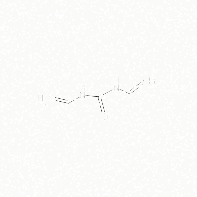 C=CNC(=O)NC=C